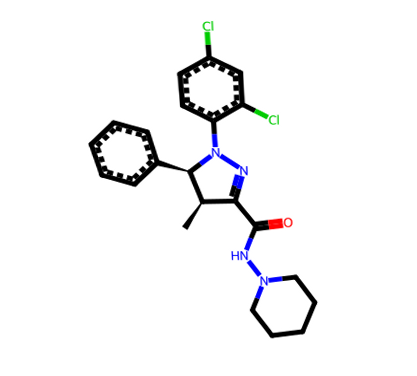 C[C@@H]1C(C(=O)NN2CCCCC2)=NN(c2ccc(Cl)cc2Cl)[C@@H]1c1ccccc1